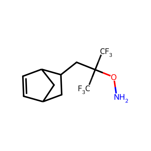 NOC(CC1CC2C=CC1C2)(C(F)(F)F)C(F)(F)F